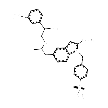 CC(Cc1ccc2c(c1)cc(C(=O)O)n2Cc1ccc(S(N)(=O)=O)cc1)NCC(O)c1cccc(C(F)(F)F)c1